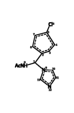 CC(=O)NC(c1ccc(Cl)cc1)n1ccnc1